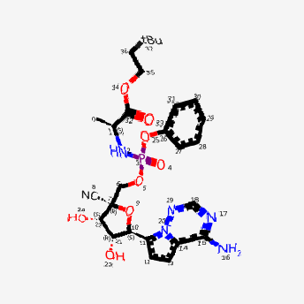 C[C@H](NP(=O)(OC[C@@]1(C#N)O[C@@H](c2ccc3c(N)ncnn23)[C@H](O)[C@@H]1O)Oc1ccccc1)C(=O)OCCC(C)(C)C